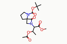 COC(=O)C(C(C)OC(C)=O)N1CC2(CCCN2C(=O)OC(C)(C)C)C1=O